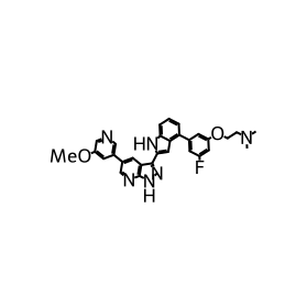 COc1cncc(-c2cnc3[nH]nc(-c4cc5c(-c6cc(F)cc(OCCN(C)C)c6)cccc5[nH]4)c3c2)c1